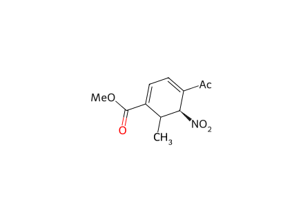 COC(=O)C1=CC=C(C(C)=O)[C@@H]([N+](=O)[O-])C1C